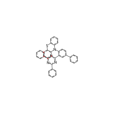 c1ccc(-c2ccc(N3c4ccccc4Sc4ccccc43)c(-c3nc(-c4ccccc4)nc(-c4ccccc4)n3)c2)cc1